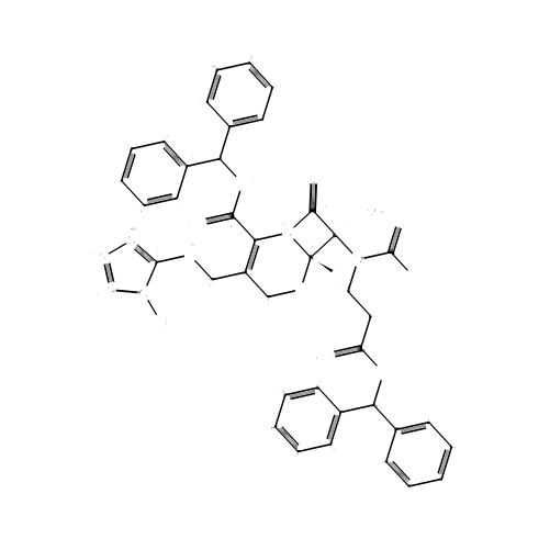 CO[C@@]1(N(CCC(=O)OC(c2ccccc2)c2ccccc2)C(C)=S)C(=O)N2C(C(=O)OC(c3ccccc3)c3ccccc3)=C(CSc3nnnn3C)CS[C@H]21